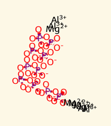 O=P([O-])([O-])OP(=O)([O-])[O-].O=P([O-])([O-])OP(=O)([O-])[O-].O=P([O-])([O-])OP(=O)([O-])[O-].O=P([O-])([O-])OP(=O)([O-])[O-].O=P([O-])([O-])OP(=O)([O-])[O-].[Al+3].[Al+3].[Al+3].[Al+3].[Mg+2].[Mg+2].[Mg+2].[Mg+2]